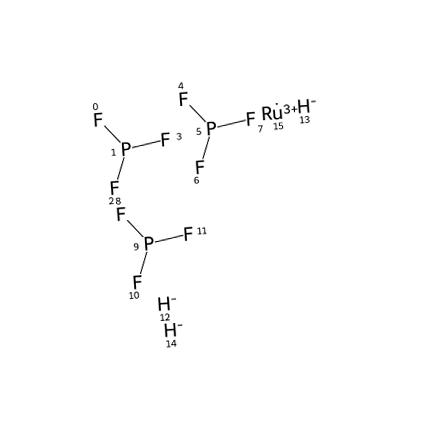 FP(F)F.FP(F)F.FP(F)F.[H-].[H-].[H-].[Ru+3]